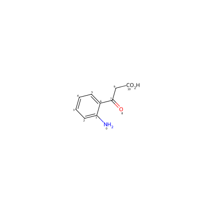 Nc1ccccc1C(=O)CC(=O)O